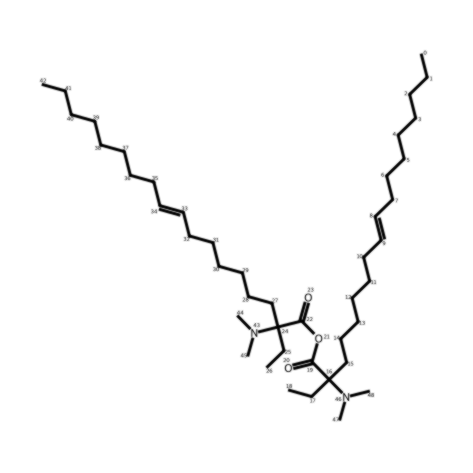 CCCCCCCCC=CCCCCCCC(CC)(C(=O)OC(=O)C(CC)(CCCCCCC=CCCCCCCCC)N(C)C)N(C)C